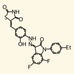 CCc1ccc(N2C(=O)C(=NNc3ccc(C=C4SC(=O)NC4=O)cc3O)c3cc(F)cc(F)c32)cc1